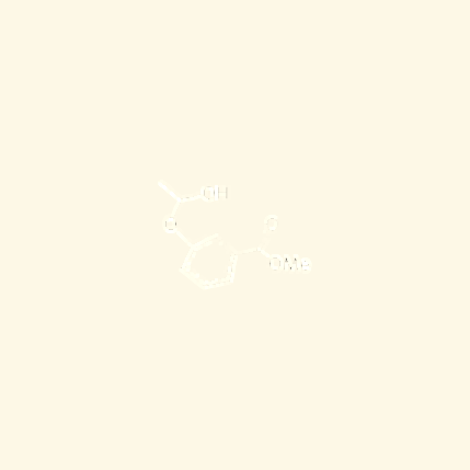 COC(=O)c1cccc(OC(C)O)c1